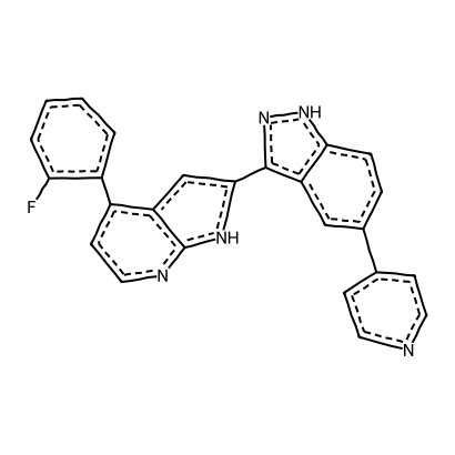 Fc1ccccc1-c1ccnc2[nH]c(-c3n[nH]c4ccc(-c5ccncc5)cc34)cc12